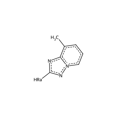 Cc1cccn2n[c]([RaH])nc12